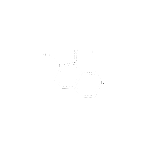 Cl.Cn1ccc2ccncc2c1=O